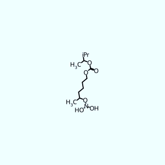 CC(CCCCOC(=O)OC(C)C(C)C)ON(O)O